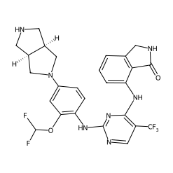 O=C1NCc2cccc(Nc3nc(Nc4ccc(N5C[C@H]6CNC[C@H]6C5)cc4OC(F)F)ncc3C(F)(F)F)c21